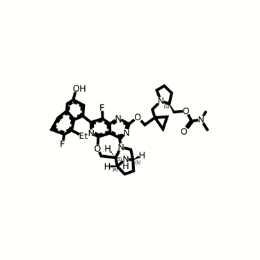 CCc1c(F)ccc2cc(O)cc(-c3nc4c5c(nc(OCC6(CN7CCC[C@H]7COC(=O)N(C)C)CC6)nc5c3F)N3C[C@@H]5CC[C@@H](N5)[C@H]3CO4)c12